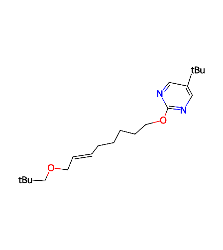 CC(C)(C)COCC=CCCCCCOc1ncc(C(C)(C)C)cn1